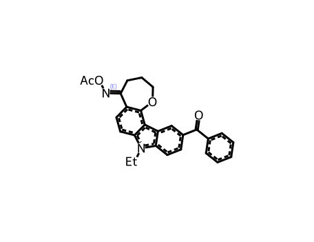 CCn1c2ccc(C(=O)c3ccccc3)cc2c2c3c(ccc21)/C(=N/OC(C)=O)CCCO3